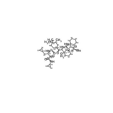 CC1CN(C(=O)[C@@H](NC(=O)NC2(CS(=O)(=O)C(C)(C)C)CCCCC2)C2(C)CCCCC2)[C@H](C(=O)NC(CC2CC2)C(=O)C(=O)NC2CC2)CC1(C)C